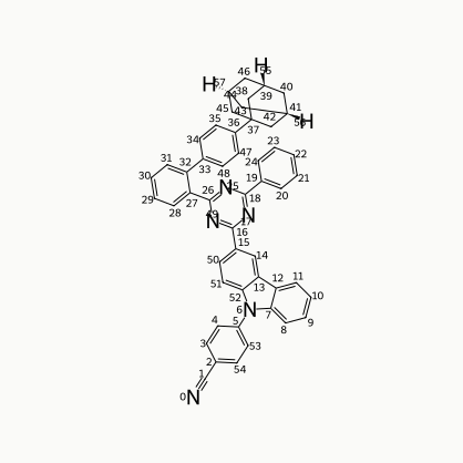 N#Cc1ccc(-n2c3ccccc3c3cc(-c4nc(-c5ccccc5)nc(-c5ccccc5-c5ccc(C67C[C@H]8C[C@H](C6)C[C@@H](C7)C8)cc5)n4)ccc32)cc1